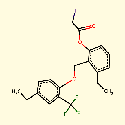 CCc1ccc(OCc2c(CC)cccc2OC(=O)CI)c(C(F)(F)F)c1